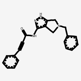 O=C(C#Cc1ccccc1)Nc1n[nH]c2c1CN(Cc1ccccc1)C2